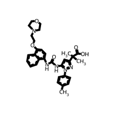 Cc1ccc(-n2nc(C(C)(C)C(=O)O)cc2NC(=O)Nc2ccc(OCCN3CCOCC3)c3ccccc23)cc1